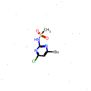 CC(C)(C)c1cc(Cl)nc(NS(C)(=O)=O)n1